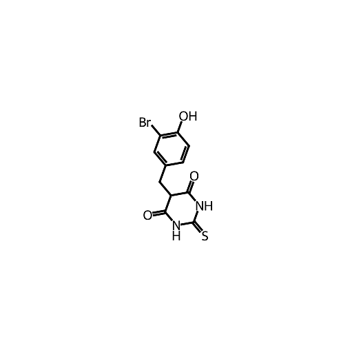 O=C1NC(=S)NC(=O)C1Cc1ccc(O)c(Br)c1